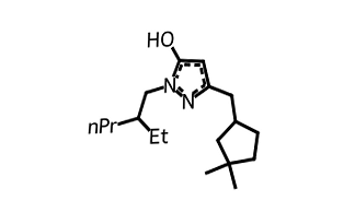 CCCC(CC)Cn1nc(CC2CCC(C)(C)C2)cc1O